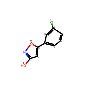 Oc1cc(-c2cccc(Cl)c2)on1